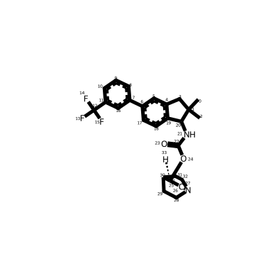 CC1(C)Cc2cc(-c3cccc(C(F)(F)F)c3)ccc2C1NC(=O)O[C@H]1CN2CCC1CC2